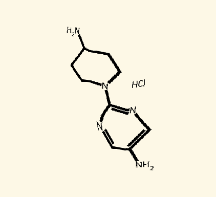 Cl.Nc1cnc(N2CCC(N)CC2)nc1